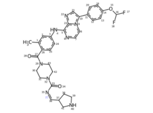 Cc1cc(Nc2nccn3c(-c4ccc(OC(F)F)cc4)cnc23)ccc1C(=O)N1CCN(C(=O)/N=C\C2CCNC2)CC1